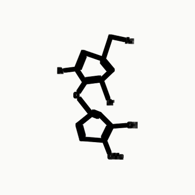 COc1ccc(Oc2c(Br)cc(CC(C)=O)cc2Br)cc1O